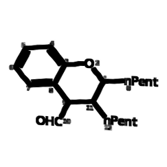 CCCCCC1Oc2ccccc2C(C=O)C1CCCCC